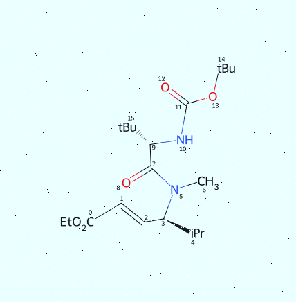 CCOC(=O)/C=C/[C@H](C(C)C)N(C)C(=O)[C@@H](NC(=O)OC(C)(C)C)C(C)(C)C